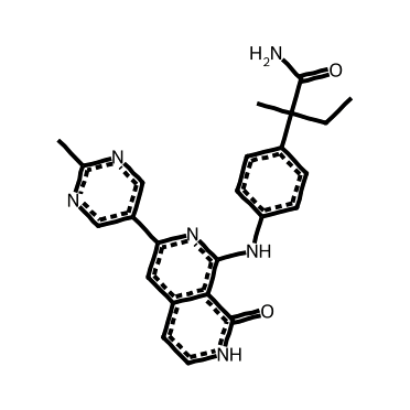 CCC(C)(C(N)=O)c1ccc(Nc2nc(-c3cnc(C)nc3)cc3cc[nH]c(=O)c23)cc1